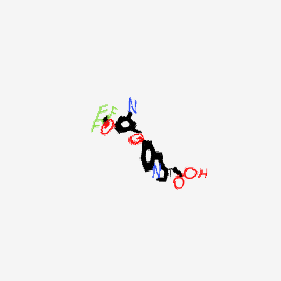 N#Cc1cc(COc2ccc3c(c2)cc2n3CC[C@H]2CC(=O)O)cc(OC(F)(F)F)c1